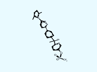 Cc1ccc(C)n1-c1ccc(-c2ccc(C(C)(c3ccc(OS(=O)(=O)C(F)(F)F)cn3)C(C)C)cc2)nn1